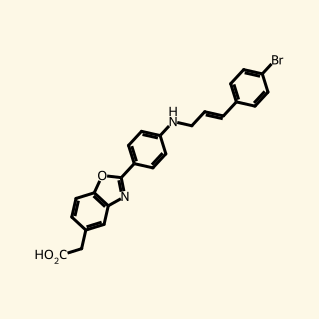 O=C(O)Cc1ccc2oc(-c3ccc(NCC=Cc4ccc(Br)cc4)cc3)nc2c1